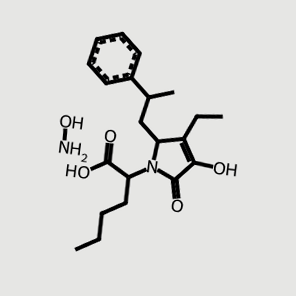 CCCCC(C(=O)O)N1C(=O)C(O)=C(CC)C1CC(C)c1ccccc1.NO